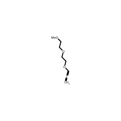 C=C=COCCOCCOC